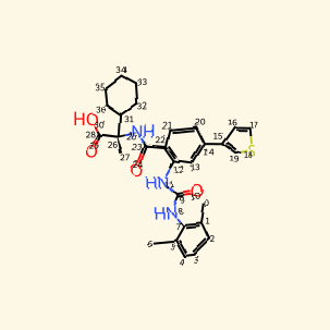 Cc1cccc(C)c1NC(=O)Nc1cc(-c2ccsc2)ccc1C(=O)N[C@](C)(C(=O)O)C1CCCCC1